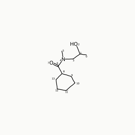 CC(O)CN(C)C(=O)C1CC[CH]CC1